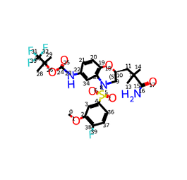 COc1cc(S(=O)(=O)N2C[C@H](CC(C)(C)C(N)=O)Oc3ccc(NC(=O)OC(C)(C)C(F)(F)F)cc32)ccc1F